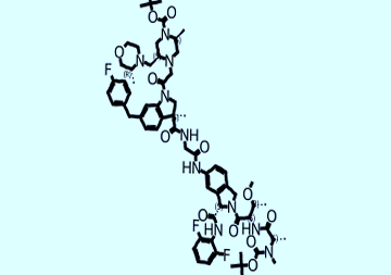 CO[C@H](C)[C@H](NC(=O)[C@H](C)N(C)C(=O)OC(C)(C)C)C(=O)N1Cc2ccc(NC(=O)CNC(=O)[C@]3(C)CN(C(=O)CN4C[C@H](C)N(C(=O)OC(C)(C)C)C[C@@H]4CN4CCOC[C@H]4C)c4cc(Cc5ccc(F)cc5)ccc43)cc2[C@H]1C(=O)Nc1c(F)cccc1F